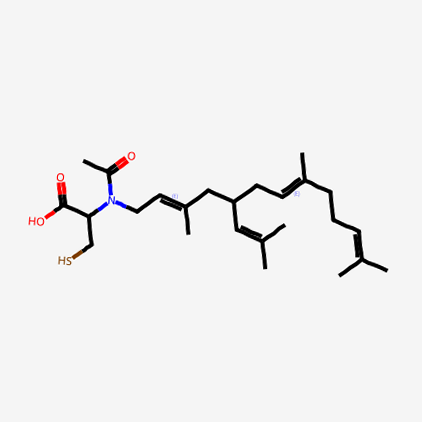 CC(=O)N(C/C=C(\C)CC(C=C(C)C)C/C=C(\C)CCC=C(C)C)C(CS)C(=O)O